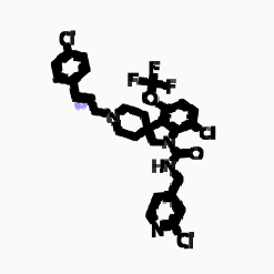 O=C(NCc1ccnc(Cl)c1)N1CC2(CCN(C/C=C/c3ccc(Cl)cc3)CC2)c2c(OC(F)(F)F)ccc(Cl)c21